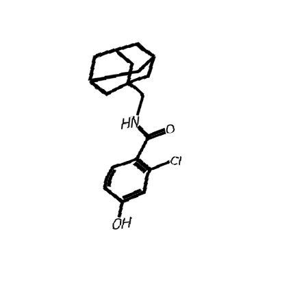 O=C(NCC12CC3CC(CC(C3)C1)C2)c1ccc(O)cc1Cl